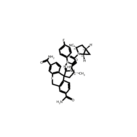 C[C@H](CC1(c2nn(-c3ccc(F)cc3)c(=O)[nH]2)c2ccc(C(N)=O)cc2CCc2cc(C(N)=O)ccc21)NCC(=O)N1[C@H](C#N)C[C@@H]2C[C@@H]21